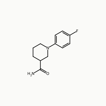 NC(=O)C1CCCN(c2ccc(F)cc2)C1